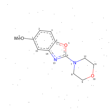 COc1ccc2oc(N3CCOCC3)nc2c1